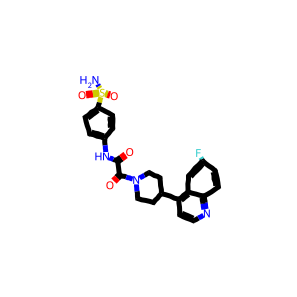 NS(=O)(=O)c1ccc(NC(=O)C(=O)N2CCC(c3ccnc4ccc(F)cc34)CC2)cc1